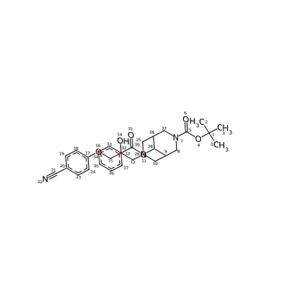 CC(C)(C)OC(=O)N1CC2CN(CC(O)COc3ccc(C#N)cc3)CC(C1)C2OC(=O)c1ccccc1